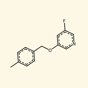 Cc1ccc(COc2cncc(F)c2)cc1